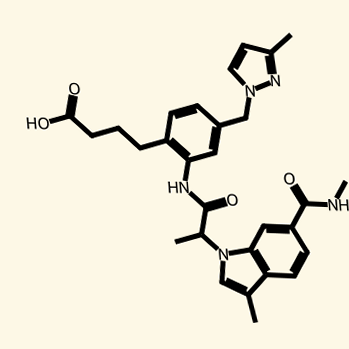 CNC(=O)c1ccc2c(C)cn(C(C)C(=O)Nc3cc(Cn4ccc(C)n4)ccc3CCCC(=O)O)c2c1